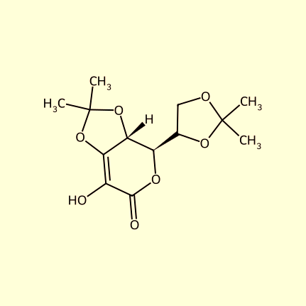 CC1(C)OCC([C@H]2OC(=O)C(O)=C3OC(C)(C)O[C@@H]32)O1